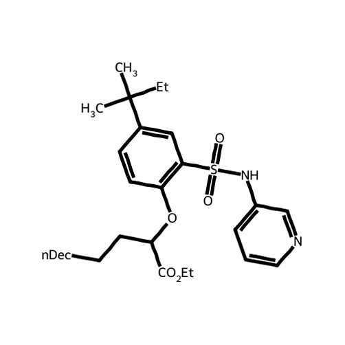 CCCCCCCCCCCCC(Oc1ccc(C(C)(C)CC)cc1S(=O)(=O)Nc1cccnc1)C(=O)OCC